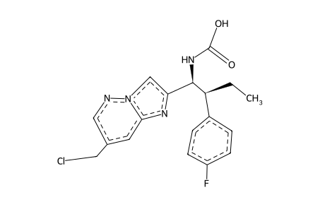 CC[C@@H](c1ccc(F)cc1)[C@H](NC(=O)O)c1cn2ncc(CCl)cc2n1